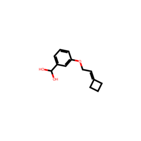 OC(O)c1cccc(OCC=C2CCC2)c1